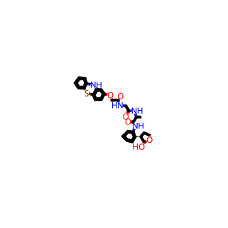 CC(NC(=O)CNC(=O)COc1ccc2c(c1)Nc1ccccc1S2)C(=O)Nc1ccccc1[C@@H]1CCOC1O